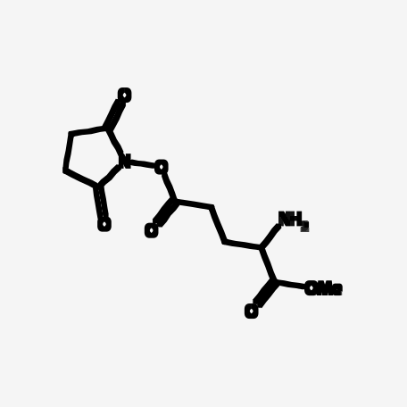 COC(=O)C(N)CCC(=O)ON1C(=O)CCC1=O